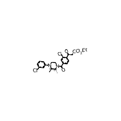 CCOC(=O)CC(=O)c1ccc(C(=O)N2CCN(c3cccc(Cl)c3)[C@H](C)[C@H]2C)cc1Cl